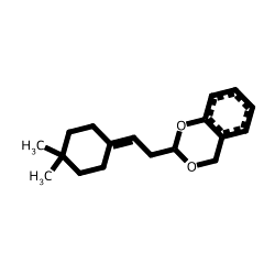 CC1(C)CCC(=CCC2OCc3ccccc3O2)CC1